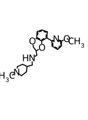 COc1cccc(-c2cccc3c2OC(CNCC2CCN(C)CC2)CO3)n1